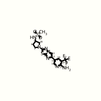 CS(=O)(=O)NC1CCN(c2nn3cc(-c4cnc(N)c(C(F)(F)F)c4)nc3s2)C1